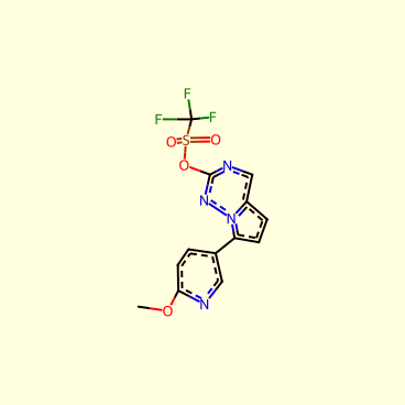 COc1ccc(-c2ccc3cnc(OS(=O)(=O)C(F)(F)F)nn23)cn1